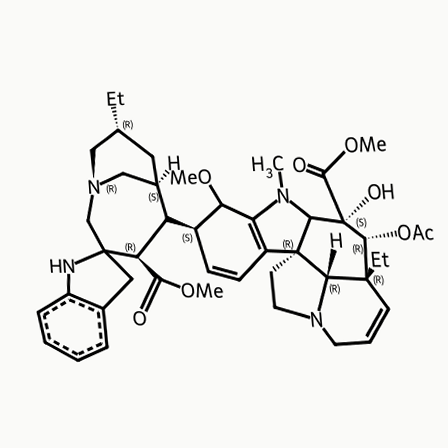 CC[C@@H]1C[C@@H]2C[N@](C1)CC1(Cc3ccccc3N1)[C@H](C(=O)OC)C2[C@@H]1C=CC2=C(C1OC)N(C)C1[C@]23CCN2CC=C[C@@](CC)([C@@H](OC(C)=O)[C@]1(O)C(=O)OC)[C@H]23